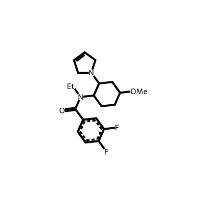 CCN(C(=O)c1ccc(F)c(F)c1)C1CCC(OC)CC1N1CC=CC1